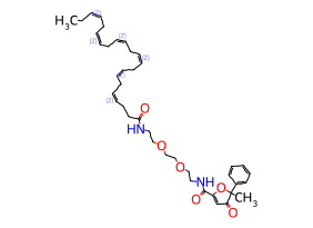 CC/C=C\C/C=C\C/C=C\C/C=C\C/C=C\C/C=C\CCC(=O)NCCOCCOCCNC(=O)C1=CC(=O)C(C)(c2ccccc2)O1